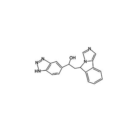 OC(CC1c2ccccc2-c2cncn21)c1ccc2[nH]nnc2c1